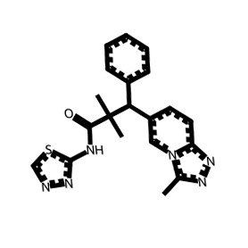 Cc1nnc2ccc(C(c3ccccc3)C(C)(C)C(=O)Nc3nncs3)cn12